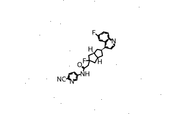 N#Cc1ccc(NC(=O)CC2(F)C[C@H]3C[C@@H](c4ccnc5ccc(F)cc45)C[C@H]3C2)cn1